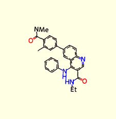 CCNC(=O)c1cnc2ccc(-c3ccc(C(=O)NC)c(C)c3)cc2c1Nc1ccccc1